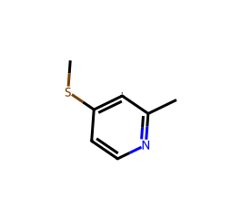 CSc1[c]c(C)ncc1